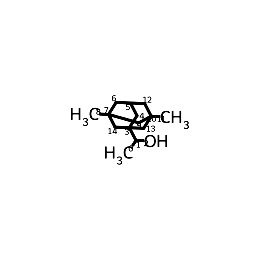 CC(O)C12CC3CC(C)(CC(C)(C3)C1)C2